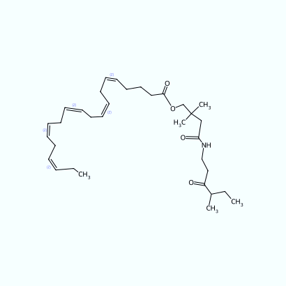 CC/C=C\C/C=C\C/C=C\C/C=C\C/C=C\CCCC(=O)OCC(C)(C)CC(=O)NCCC(=O)C(C)CC